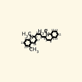 C/N=C(\C=C/C=C1/C=Cc2ccccc2N1C)/C=C\c1ccccc1C